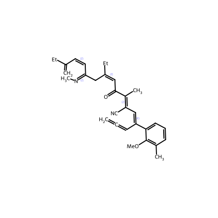 C=C=C/C(=C\C(C#N)=C(/C)C(=O)/C=C(/CC)CC(/C=C\C(=C)CC)=N/C)c1cccc(C)c1OC